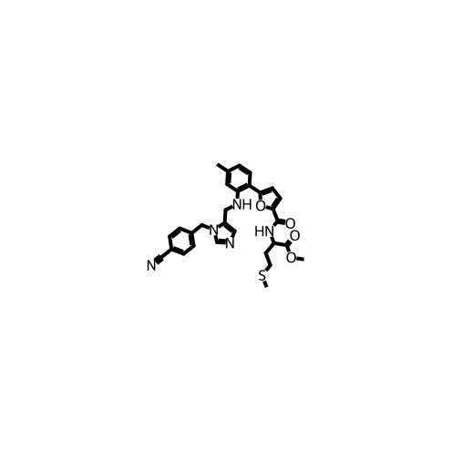 COC(=O)C(CCSC)NC(=O)c1ccc(-c2ccc(C)cc2NCc2cncn2Cc2ccc(C#N)cc2)o1